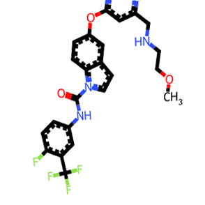 COCCNCc1cc(Oc2ccc3c(ccn3C(=O)Nc3ccc(F)c(C(F)(F)F)c3)c2)ncn1